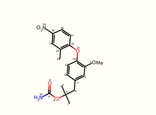 COc1cc(CC(C)(C)OC(N)=O)ccc1Oc1ccc([N+](=O)[O-])cc1C